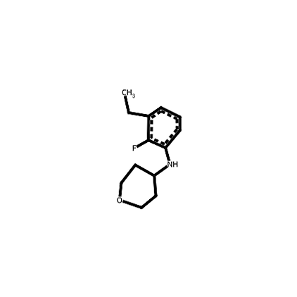 CCc1cccc(NC2CCOCC2)c1F